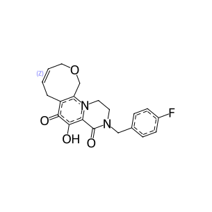 O=C1c2c(O)c(=O)c3c(n2CCN1Cc1ccc(F)cc1)COC/C=C\C3